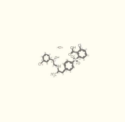 CC(Cc1ccc(S(=O)(=O)c2cccc(Cl)c2C(=O)O)cc1)NC[C@@H](O)c1cccc(Cl)c1.Cl